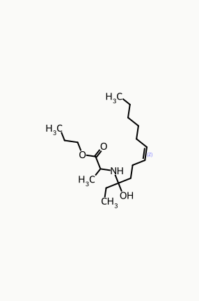 CCCCC/C=C\CCC(O)(CC)NC(C)C(=O)OCCC